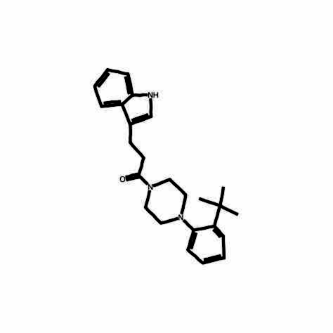 CC(C)(C)c1ccccc1N1CCN(C(=O)CCc2c[nH]c3ccccc23)CC1